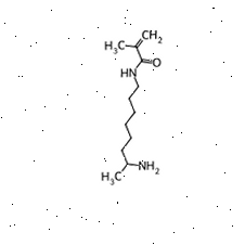 C=C(C)C(=O)NCCCCCCC(C)N